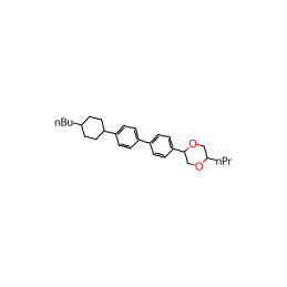 CCCCC1CCC(c2ccc(-c3ccc(C4COC(CCC)CO4)cc3)cc2)CC1